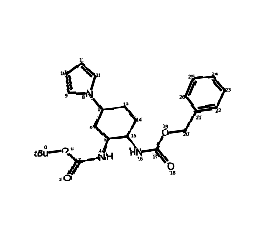 CC(C)(C)OC(=O)NC1CC(n2cccc2)CCC1NC(=O)OCc1ccccc1